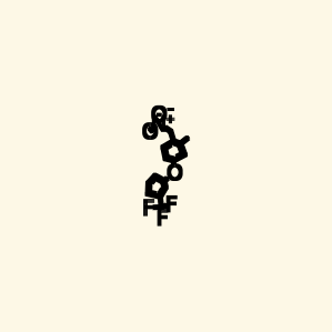 Cc1cc(Oc2cccc(C(F)(F)F)c2)ccc1C[N+](=O)[O-]